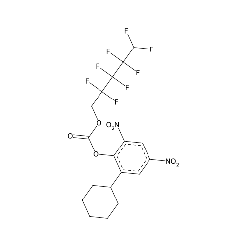 O=C(OCC(F)(F)C(F)(F)C(F)(F)C(F)F)Oc1c(C2CCCCC2)cc([N+](=O)[O-])cc1[N+](=O)[O-]